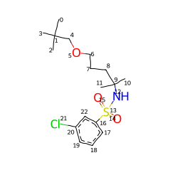 CC(C)(C)COCCCC(C)(C)NS(=O)(=O)c1cccc(Cl)c1